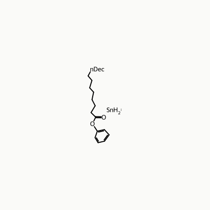 CCCCCCCCCCCCCCCCCC(=O)Oc1ccccc1.[SnH2]